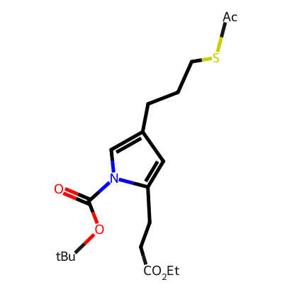 CCOC(=O)CCc1cc(CCCSC(C)=O)cn1C(=O)OC(C)(C)C